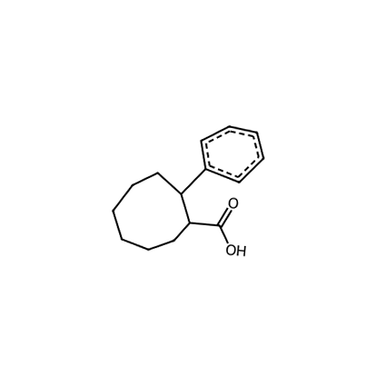 O=C(O)C1CCCCCCC1c1ccccc1